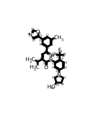 Cc1cc(-c2cc(C(C)C)c(=O)n(-c3cc(N4CCC(O)C4)ccc3C(F)(F)F)n2)cc(-c2cnco2)c1